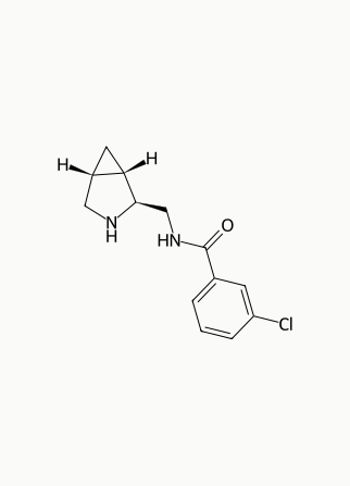 O=C(NC[C@H]1NC[C@@H]2C[C@@H]21)c1cccc(Cl)c1